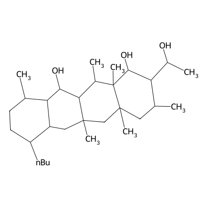 CCCCC1CCC(C)C2C(O)C3C(C)C4(C)C(O)C(C(C)O)C(C)CC4(C)CC3(C)CC12